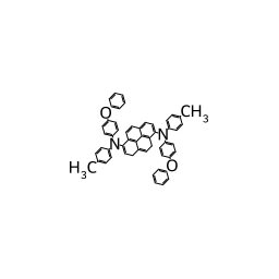 Cc1ccc(N(C2=CCC3=CCc4c(N(c5ccc(C)cc5)c5ccc(Oc6ccccc6)cc5)ccc5ccc2c3c45)c2ccc(Oc3ccccc3)cc2)cc1